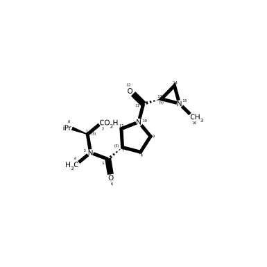 CC(C)[C@@H](C(=O)O)N(C)C(=O)[C@H]1CCN(C(=O)[C@@H]2CN2C)C1